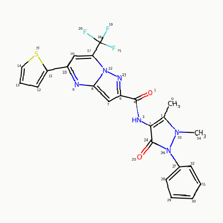 Cc1c(NC(=O)c2cc3nc(-c4cccs4)cc(C(F)(F)F)n3n2)c(=O)n(-c2ccccc2)n1C